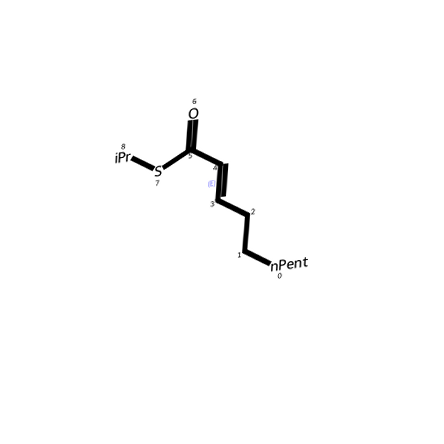 CCCCCCC/C=C/C(=O)SC(C)C